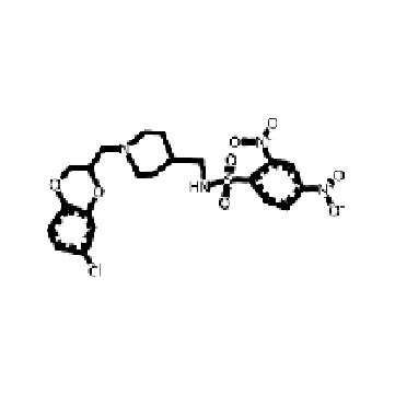 O=[N+]([O-])c1ccc(S(=O)(=O)NCC2CCN(CC3COc4ccc(Cl)cc4O3)CC2)c([N+](=O)[O-])c1